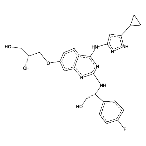 OC[C@@H](O)COc1ccc2c(Nc3cc(C4CC4)[nH]n3)nc(N[C@@H](CO)c3ccc(F)cc3)nc2c1